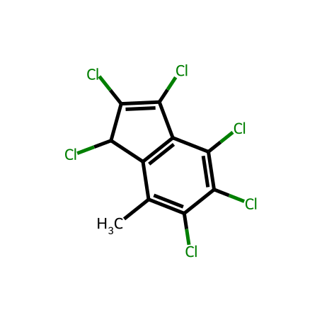 Cc1c(Cl)c(Cl)c(Cl)c2c1C(Cl)C(Cl)=C2Cl